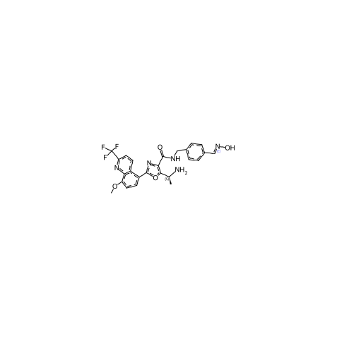 COc1ccc(-c2nc(C(=O)NCc3ccc(/C=N/O)cc3)c([C@H](C)N)o2)c2ccc(C(F)(F)F)nc12